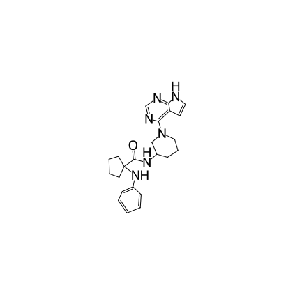 O=C(NC1CCCN(c2ncnc3[nH]ccc23)C1)C1(Nc2ccccc2)CCCC1